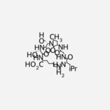 CC(C)C[C@H](N)C(=O)NCC(=O)N[C@H]1CC(C)N([C@@H](CO)C(=O)N[C@@H](CO)C(=O)N[C@@H](CCCCN)C(=O)O)C1=O